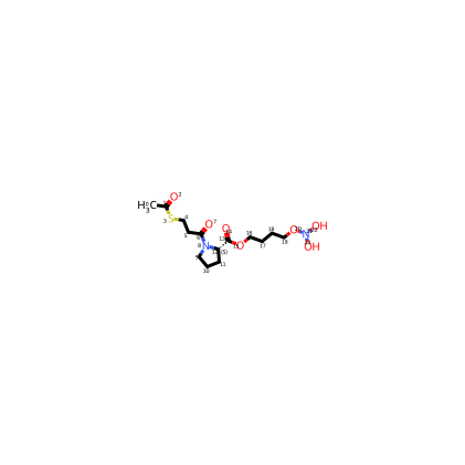 CC(=O)SCCC(=O)N1CCC[C@H]1C(=O)OCCCCON(O)O